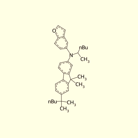 CCCCC(C)N(c1ccc2c(c1)C(C)(C)c1cc(C(C)(C)CCCC)ccc1-2)c1ccc2occc2c1